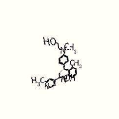 Cc1cc(/C(C[C@H](c2ccc(N(C)CCO)cc2)c2ccccc2C)=N/O)ccn1